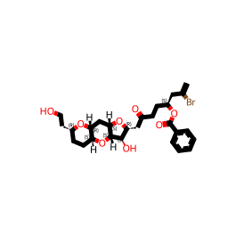 C=C(Br)C[C@H](CCC(=O)C[C@H]1O[C@H]2C[C@H]3O[C@@H](CCO)CC[C@@H]3O[C@H]2[C@H]1O)OC(=O)c1ccccc1